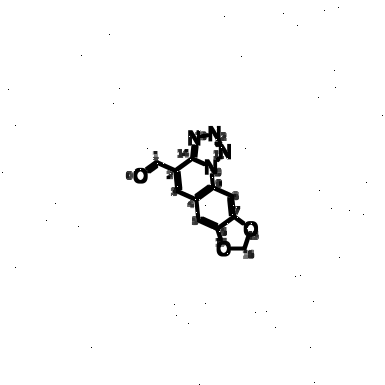 O=Cc1cc2cc3c(cc2n2nnnc12)OCO3